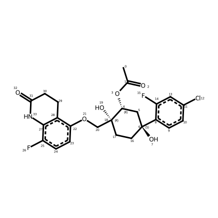 CC(=O)O[C@@H]1C[C@](O)(c2ccc(Cl)cc2F)CC[C@@]1(O)COc1ccc(F)c2c1CCC(=O)N2